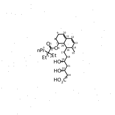 CCCC(CC)(CC)C(=O)OC1CCC=C2C=CC(C)C(CCC(O)CC(O)CC(=O)O)C21